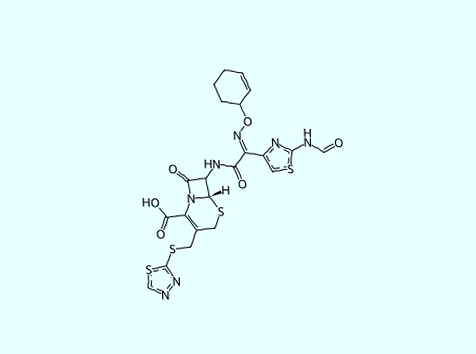 O=CNc1nc(C(=NOC2C=CCCC2)C(=O)NC2C(=O)N3C(C(=O)O)=C(CSc4nncs4)CS[C@@H]23)cs1